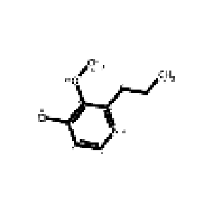 CCCc1nccc(Cl)c1OC